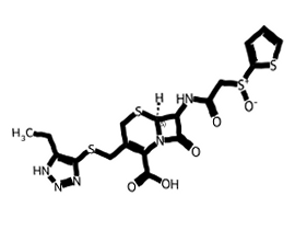 CCc1[nH]nnc1SCC1=C(C(=O)O)N2C(=O)C(NC(=O)C[S+]([O-])c3cccs3)[C@@H]2SC1